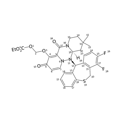 CCOC(=O)OCOc1c2n(ccc1=O)N([C@@H]1c3ccccc3SCc3c1ccc(F)c3F)[C@@H]1CC(C)(C)CCN1C2=O